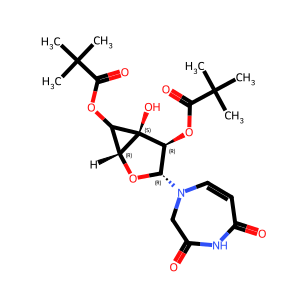 CC(C)(C)C(=O)OC1[C@H]2O[C@@H](N3C=CC(=O)NC(=O)C3)[C@H](OC(=O)C(C)(C)C)[C@@]12O